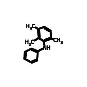 Cc1ccc(C)c(Nc2ccccc2)c1C